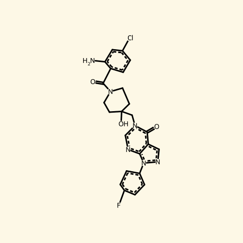 Nc1cc(Cl)ccc1C(=O)N1CCC(O)(Cn2cnc3c(cnn3-c3ccc(F)cc3)c2=O)CC1